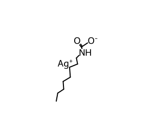 CCCCCCCCNC(=O)[O-].[Ag+]